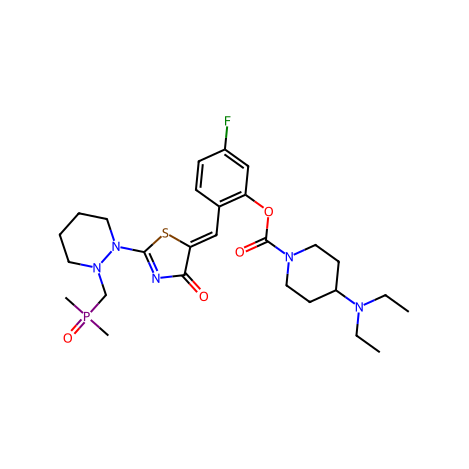 CCN(CC)C1CCN(C(=O)Oc2cc(F)ccc2/C=C2\SC(N3CCCCN3CP(C)(C)=O)=NC2=O)CC1